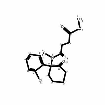 COC(=O)CCC(=O)N(C)[C@]1(c2ccccc2Cl)CCCCC1=O